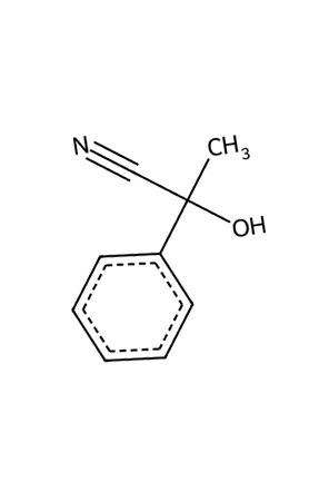 CC(O)(C#N)c1ccccc1